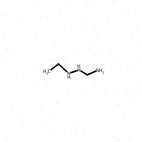 CCNNCN